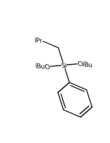 CC(C)CO[Si](CC(C)C)(OCC(C)C)c1ccccc1